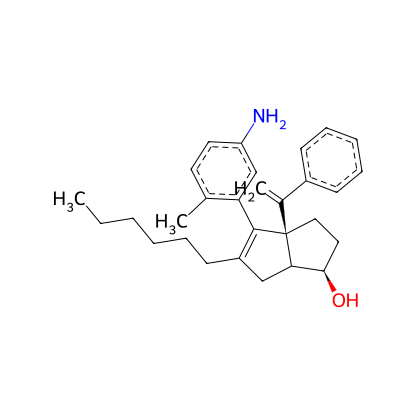 C=C(c1ccccc1)[C@@]12CC[C@@H](O)C1CC(CCCCCC)=C2c1cc(N)ccc1C